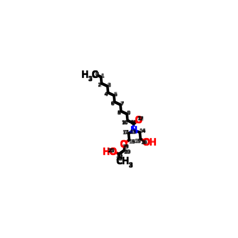 CCCCCCCCCCCC(=O)N(CCO)CCOCC(C)O